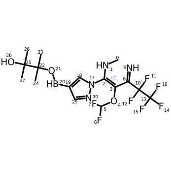 CN/C(=C(/OC(F)F)C(=N)C(F)(F)C(F)(F)F)n1cc(BOC(C)(C)C(C)(C)O)cn1